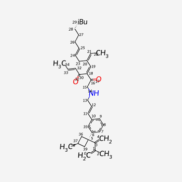 C=C(C)C(=C)[C@]1(c2cccc(/C=C/CNCC(=O)/C(=C/C(=C\C)C/C=C/CCC[C@@H](C)CC)C(=O)/C=C/C)c2)C[C@H](C)C1